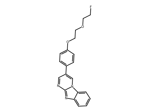 FCCOCCOc1ccc(-c2cnc3nc4ccccc4n3c2)cc1